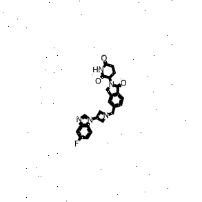 O=C1CCC(N2Cc3cc(CN4CC(n5cnc6cc(F)ccc65)C4)ccc3C2=O)C(=O)N1